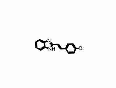 Brc1ccc(/C=C/c2nc3ccccc3[nH]2)cc1